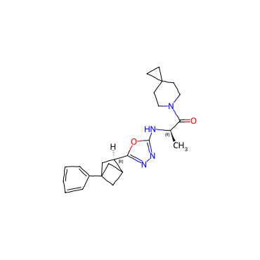 C[C@@H](Nc1nnc([C@@H]2CC3(c4ccccc4)CC2C3)o1)C(=O)N1CCC2(CC1)CC2